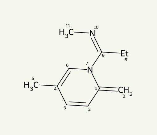 C=C1C=CC(C)=CN1/C(CC)=N\C